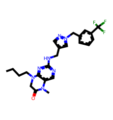 CCCCN1CC(=O)N(C)c2cnc(NCc3cnn(Cc4cccc(C(F)(F)F)c4)c3)nc21